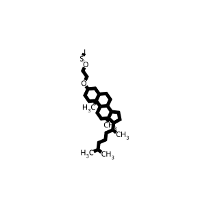 CC(C)CCCC(C)C1CCC2C3CCC4CC(OCCOSI)CCC4(C)C3CCC12C